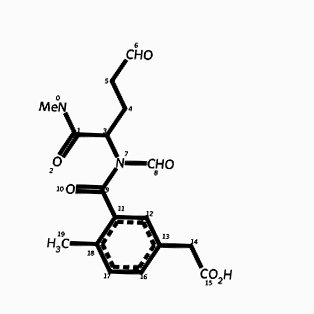 CNC(=O)C(CCC=O)N(C=O)C(=O)c1cc(CC(=O)O)ccc1C